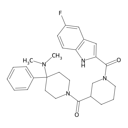 CN(C)C1(c2ccccc2)CCN(C(=O)C2CCCN(C(=O)c3cc4cc(F)ccc4[nH]3)C2)CC1